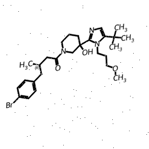 COCCCn1c(C(C)(C)C)cnc1C1(O)CCCN(C(=O)C[C@H](C)Cc2ccc(Br)cc2)C1